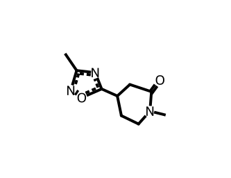 Cc1noc(C2CCN(C)C(=O)C2)n1